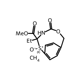 C.CCC1(C(=O)OC)NC(=O)OCc2ccc(cc2)[S@+]1[O-]